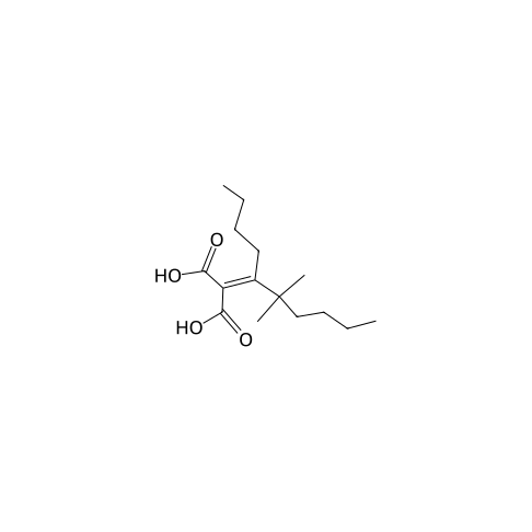 CCCCC(=C(C(=O)O)C(=O)O)C(C)(C)CCCC